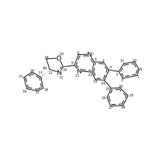 c1ccc(-c2cc3ncc(C4=N[C@H](c5ccccc5)CO4)nc3cc2-c2ccccc2)cc1